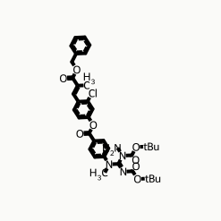 C/C(=C\c1ccc(OC(=O)c2ccc(N(C)/C(=N/C(=O)OC(C)(C)C)N(N)C(=O)OC(C)(C)C)cc2)cc1Cl)C(=O)OCc1ccccc1